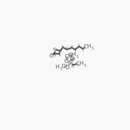 CCCCCCCC1CC(=O)S1.CC[Si](OC)(OC)OC